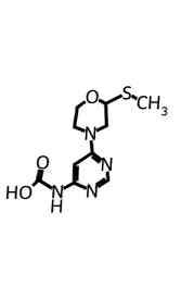 CSC1CN(c2cc(NC(=O)O)ncn2)CCO1